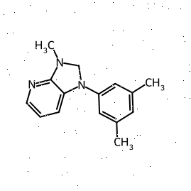 Cc1cc(C)cc(N2CN(C)c3ncccc32)c1